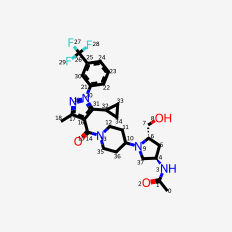 CC(=O)N[C@@H]1C[C@@H](CO)N(C2CCN(C(=O)c3c(C)nn(-c4cccc(C(F)(F)F)c4)c3C3CC3)CC2)C1